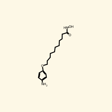 Nc1ccc(OCCCCCCCCCCC(=O)NO)cc1